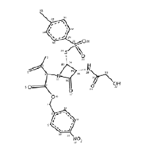 C=C(C)C(C(=O)OCc1ccc([N+](=O)[O-])cc1)N1C(=O)[C@@H](NC(=O)CO)[C@H]1SS(=O)(=O)c1ccc(C)cc1